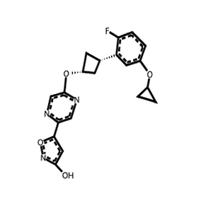 Oc1cc(-c2cnc(O[C@H]3C[C@@H](c4cc(OC5CC5)ccc4F)C3)cn2)on1